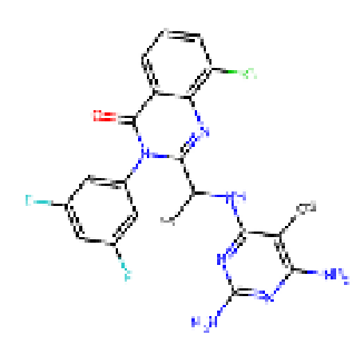 CCC(Nc1nc(N)nc(N)c1C#N)c1nc2c(Cl)cccc2c(=O)n1-c1cc(F)cc(F)c1